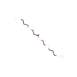 CCCCOCCOC(=O)CCOCCCC